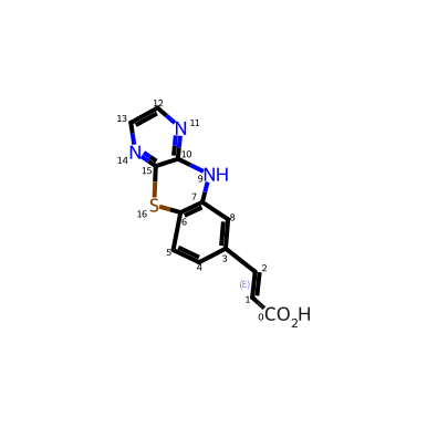 O=C(O)/C=C/c1ccc2c(c1)Nc1nccnc1S2